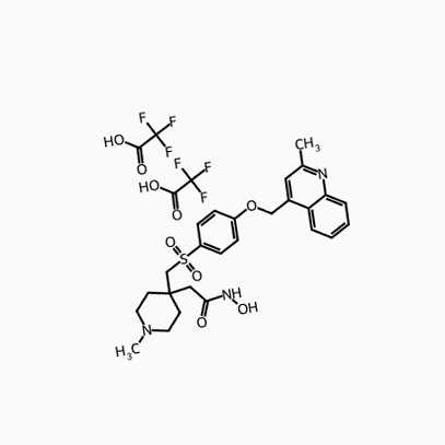 Cc1cc(COc2ccc(S(=O)(=O)CC3(CC(=O)NO)CCN(C)CC3)cc2)c2ccccc2n1.O=C(O)C(F)(F)F.O=C(O)C(F)(F)F